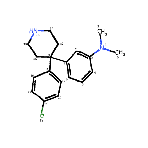 CN(C)c1cccc(C2(c3ccc(Cl)cc3)CCNCC2)c1